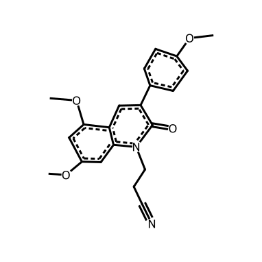 COc1ccc(-c2cc3c(OC)cc(OC)cc3n(CCC#N)c2=O)cc1